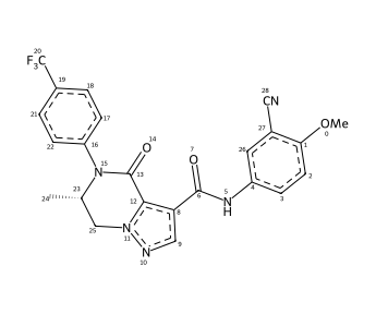 COc1ccc(NC(=O)c2cnn3c2C(=O)N(c2ccc(C(F)(F)F)cc2)[C@@H](C)C3)cc1C#N